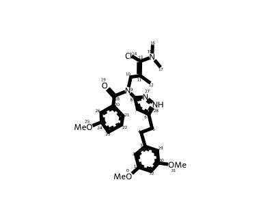 COc1cc(CCc2cc(N(CC(C)=C(Cl)N(C)C)C(=O)c3cccc(OC)c3)n[nH]2)cc(OC)c1